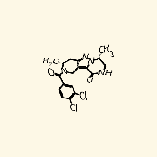 C[C@@H]1Cc2nn3c(c2CN1C(=O)c1ccc(Cl)c(Cl)c1)C(=O)NC[C@H]3C